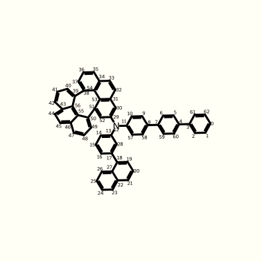 c1ccc(-c2ccc(-c3ccc(N(c4cccc(-c5cccc6ccccc56)c4)c4cc5ccc6cccc7c8cccc9ccc%10cccc(c(c4)c5c67)c%10c98)cc3)cc2)cc1